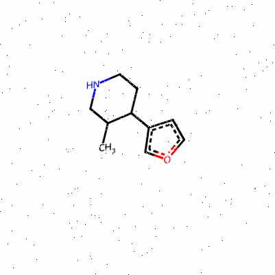 CC1CNCCC1c1ccoc1